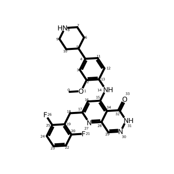 COc1cc(C2CCNCC2)ccc1Nc1cc(Cc2c(F)cccc2F)nc2cn[nH]c(=O)c12